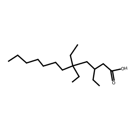 CCCCCCCC(CC)(CC)CC(CC)CC(=O)O